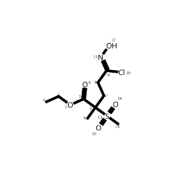 CCOC(=O)C(C)(CCC(Cl)=NO)S(C)(=O)=O